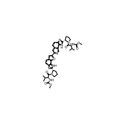 COC(=O)N[C@H](C(=O)N1CCC[C@H]1c1nc2ccc3cc(-c4cc5ccc6nc([C@@H]7CCCN7C(=O)[C@@H](NC(=O)OC)C(C)C)[nH]c6c5o4)ncc3c2[nH]1)C(C)C